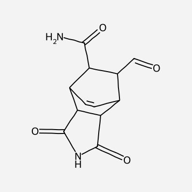 NC(=O)C1C(C=O)C2C=CC1C1C(=O)NC(=O)C21